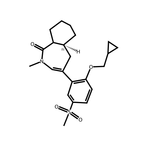 CN1C=C(c2cc(S(C)(=O)=O)ccc2OCC2CC2)C[C@@H]2CCCCC2C1=O